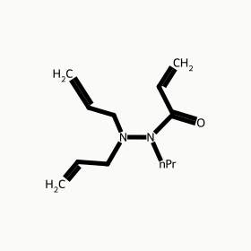 C=CCN(CC=C)N(CCC)C(=O)C=C